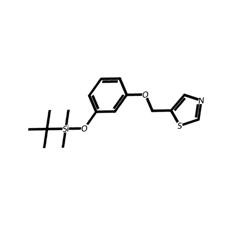 CC(C)(C)[Si](C)(C)Oc1cccc(OCc2cncs2)c1